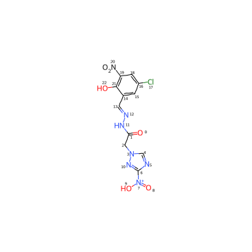 O=C(Cn1cnc([N+](=O)O)n1)N/N=C/c1cc(Cl)cc([N+](=O)[O-])c1O